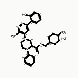 Cl.Nc1nnc(-c2ccccc2O)cc1N1CCN(c2ccccc2)C(C(=O)NCC2CCC(N)CC2)C1